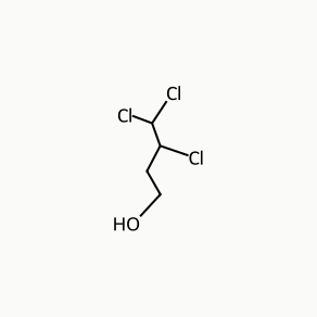 OCCC(Cl)C(Cl)Cl